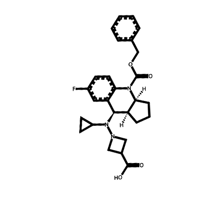 O=C(O)C1CN(N(C2CC2)[C@H]2c3cc(F)ccc3N(C(=O)OCc3ccccc3)[C@H]3CCC[C@H]32)C1